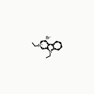 CCn1c2ccccc2c2cc[n+](CC)cc21.[Br-]